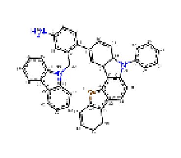 Nc1ccc(C2=CC3c4c(ccc5c6c(sc45)C=CCC6)N(c4ccccc4)C3C=C2)c(Cn2c3ccccc3c3ccccc32)c1